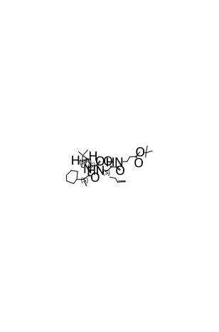 C=CCC[C@H](NC(=O)[C@@H]1[C@@H]2[C@H](CN1C(=O)[C@@H](C)C1CCCCC1)C2(C)C)C(=O)C(=O)NCCC(=O)OC(C)(C)C